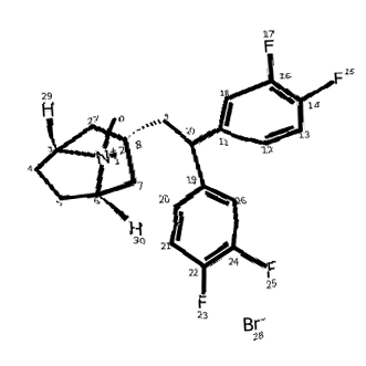 C[N+]1(C)[C@@H]2CC[C@H]1C[C@@H](CC(c1ccc(F)c(F)c1)c1ccc(F)c(F)c1)C2.[Br-]